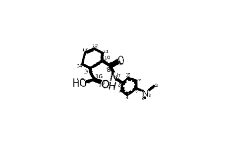 CN(C)c1ccc(NC(=O)C2CC=CCC2C(=O)O)cc1